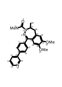 CNC(=O)N1N=C(c2ccc(-c3cccnc3)cc2)c2cc(OC)c(OC)cc2CC1C